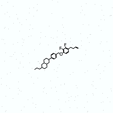 C=CCCc1ccc(OCc2ccc(C3CCC4CC(CCC)CCC4C3)cc2)c(F)c1F